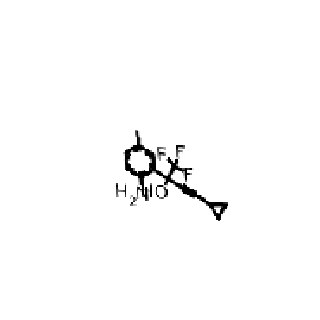 Cc1ccc(N)c([C@@](O)(C#CC2CC2)C(F)(F)F)c1